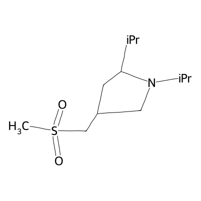 CC(C)C1CC(CS(C)(=O)=O)CN1C(C)C